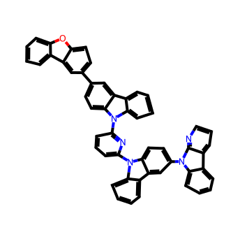 c1cc(-n2c3ccccc3c3cc(-c4ccc5oc6ccccc6c5c4)ccc32)nc(-n2c3ccccc3c3cc(-n4c5ccccc5c5cccnc54)ccc32)c1